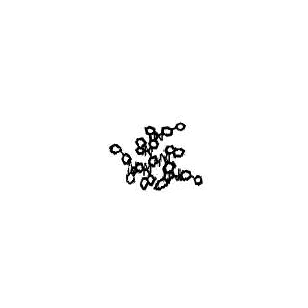 C1=Cc2c(n(-c3ccc(-c4ccccc4)cc3)c3ccc(N(c4cc(N(c5ccc6c(c5)c5ccccc5n6-c5ccc(-c6ccccc6)cc5)c5cccc6ccccc56)cc(N(c5ccc6c(c5)c5ccccc5n6-c5ccc(-c6ccccc6)cc5)c5cccc6ccccc56)c4)c4cccc5ccccc45)cc23)CC1